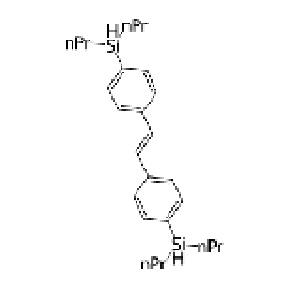 CCC[SiH](CCC)c1ccc(C=Cc2ccc([SiH](CCC)CCC)cc2)cc1